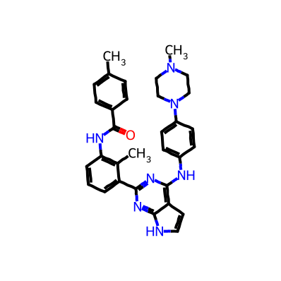 Cc1ccc(C(=O)Nc2cccc(-c3nc(Nc4ccc(N5CCN(C)CC5)cc4)c4cc[nH]c4n3)c2C)cc1